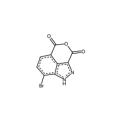 O=C1OC(=O)c2n[nH]c3c(Br)ccc1c23